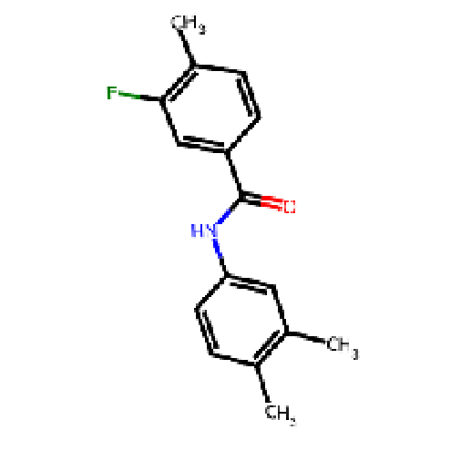 Cc1ccc(NC(=O)c2ccc(C)c(F)c2)cc1C